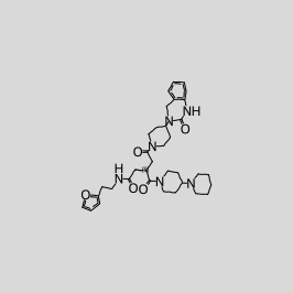 O=C(C[C@@H](CC(=O)N1CCC(N2Cc3ccccc3NC2=O)CC1)C(=O)N1CCC(N2CCCCC2)CC1)NCCc1ccco1